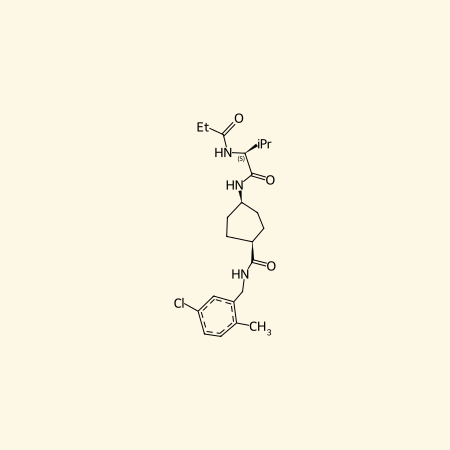 CCC(=O)N[C@H](C(=O)N[C@H]1CC[C@@H](C(=O)NCc2cc(Cl)ccc2C)CC1)C(C)C